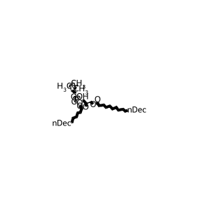 CCCCCCCCCCCCCCCCCCCC(=O)OC[C@H](COP(=O)(O)OCC[N+](C)(C)C)OC(=O)CCCCCCCCCCCCCCC